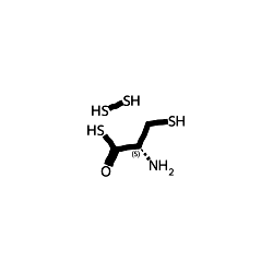 N[C@@H](CS)C(=O)S.SS